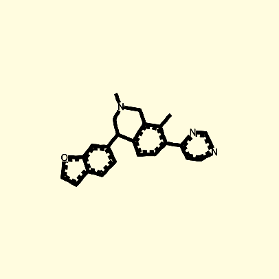 Cc1c(-c2ccncn2)ccc2c1CN(C)CC2c1ccc2ccoc2c1